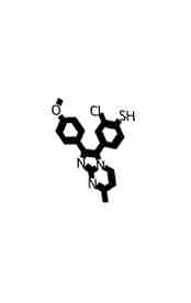 COc1ccc(-c2nc3nc(C)ccn3c2-c2ccc(S)c(Cl)c2)cc1